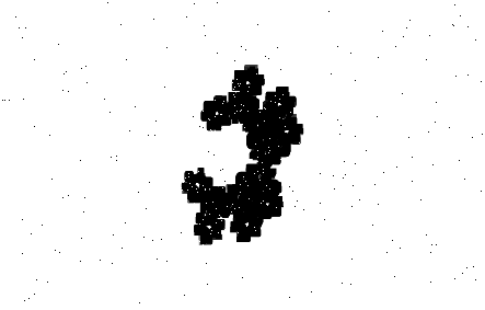 c1ccc(-c2nc(-c3ccccc3)nc(-c3cc4c5c(c3)N(c3ccccc3)c3cccc6c3B5c3c(cc(-c5cc7c8c(c5)Oc5cc(-c9nc(-c%10ccccc%10)nc(-c%10ccccc%10)n9)cc9c5B8c5c(cccc5N9c5ccccc5)O7)cc3O4)O6)n2)cc1